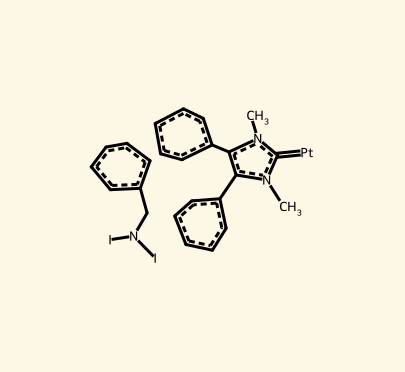 Cn1c(-c2ccccc2)c(-c2ccccc2)n(C)[c]1=[Pt].IN(I)Cc1ccccc1